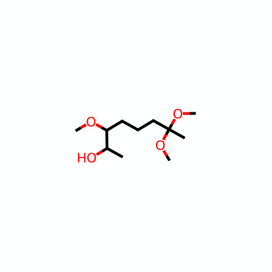 COC(CCCC(C)(OC)OC)C(C)O